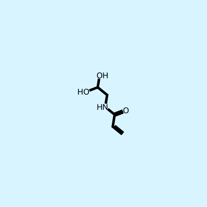 C=CC(=O)NCC(O)O